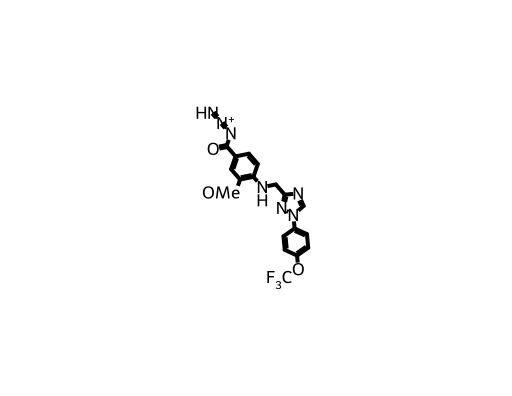 COc1cc(C(=O)N=[N+]=N)ccc1NCc1ncn(-c2ccc(OC(F)(F)F)cc2)n1